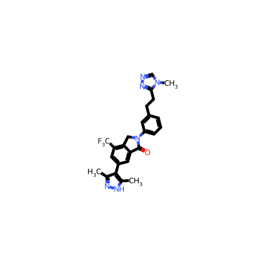 Cc1n[nH]c(C)c1-c1cc2c(c(C(F)(F)F)c1)CN(c1cccc(CCc3nncn3C)c1)C2=O